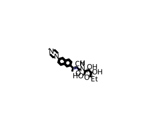 CC[C@H]1OC(O)[C@H](NC(=O)/C(C#N)=C(\C)c2ccc3cc(N4CCN(C)CC4)ccc3c2)[C@@H](O)[C@@H]1O